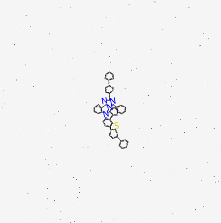 c1ccc(-c2ccc(-c3nc(-c4ccccc4)nc(-c4ccccc4-n4c5ccccc5c5c6sc7cc(-c8ccccc8)ccc7c6ccc54)n3)cc2)cc1